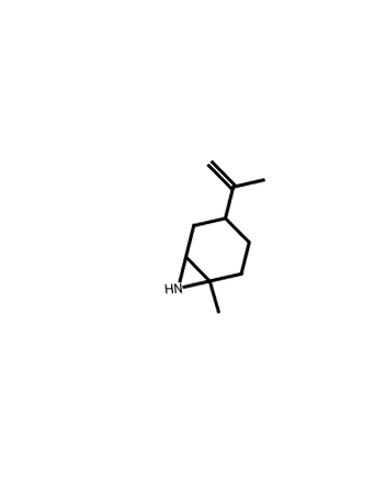 C=C(C)C1CCC2(C)NC2C1